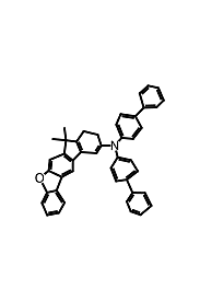 CC1(C)C2=C(C=C(N(c3ccc(-c4ccccc4)cc3)c3ccc(-c4ccccc4)cc3)CC2)c2cc3c(cc21)oc1ccccc13